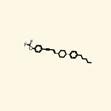 CCCCCc1ccc([C@H]2CC[C@H](/C=C/C#Cc3ccc(OC(F)F)cc3)CC2)cc1